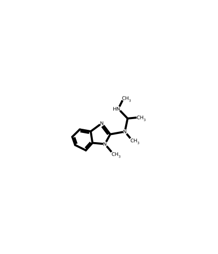 CNC(C)N(C)c1nc2ccccc2n1C